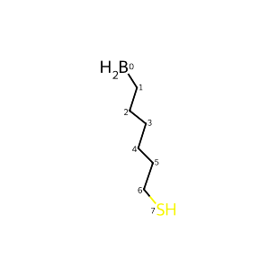 BCCCCCCS